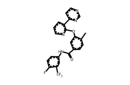 Cc1ccc(C(=O)Nc2ccc(F)c(C(F)(F)F)c2)cc1Oc1ncccc1-c1ccncn1